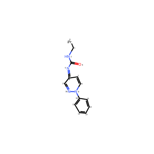 CC(C)CNC(=O)/N=c1\ccn(-c2ccccc2)nc1